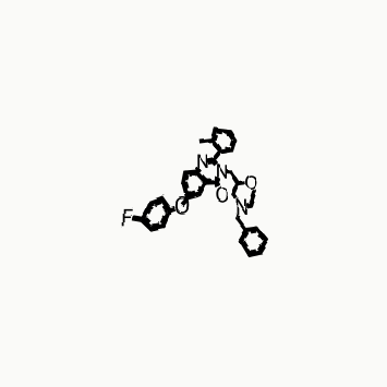 Cc1ccccc1-c1nc2ccc(Oc3ccc(F)cc3)cc2c(=O)n1CC1CN(Cc2ccccc2)CCO1